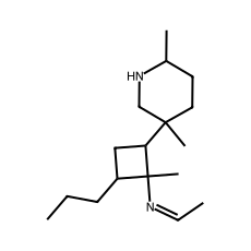 C/C=N\C1(C)C(CCC)CC1C1(C)CCC(C)NC1